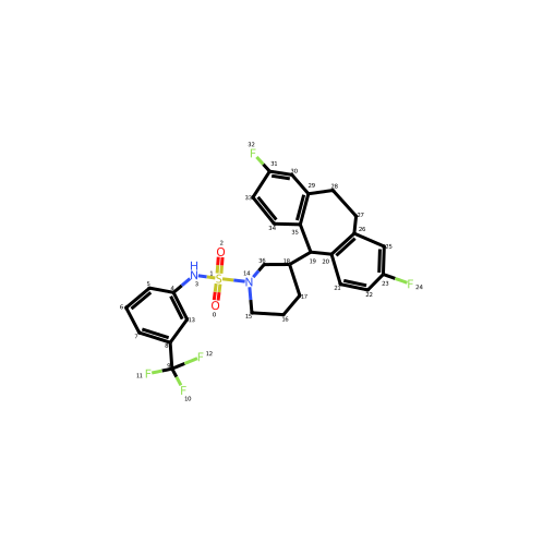 O=S(=O)(Nc1cccc(C(F)(F)F)c1)N1CCCC(C2c3ccc(F)cc3CCc3cc(F)ccc32)C1